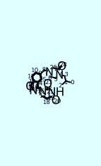 CC(C)CN1CCN(Cc2ccc3onc(-n4ccc(=O)[nH]c4=O)c3c2)CC1=O